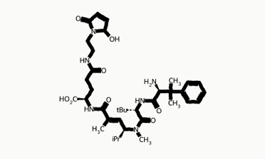 C/C(=C\[C@H](C(C)C)N(C)C(=O)[C@@H](NC(=O)[C@@H](N)C(C)(C)c1ccccc1)C(C)(C)C)C(=O)N[C@H](CCC(=O)NCCN1C(=O)C=CC1O)C(=O)O